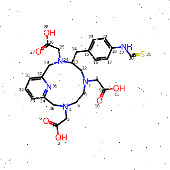 O=C(O)CN1CCN(CC(=O)O)CC(Cc2ccc(NC=S)cc2)N(CC(=O)O)Cc2cccc(n2)C1